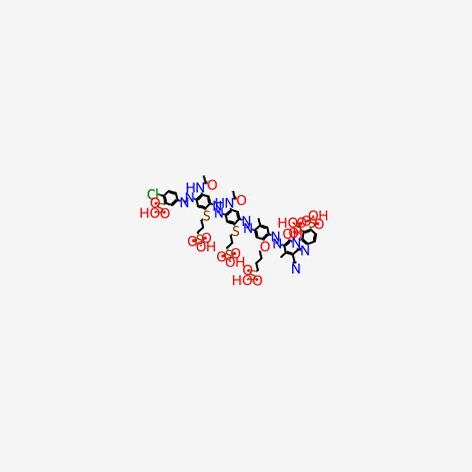 CC(=O)Nc1cc(N=Nc2cc(SCCCS(=O)(=O)O)c(N=Nc3cc(OCCCCS(=O)(=O)O)c(N=Nc4c(C)c(C#N)c5nc6ccc(S(=O)(=O)O)c(S(=O)(=O)O)c6n5c4O)cc3C)cc2NC(C)=O)c(SCCCS(=O)(=O)O)cc1N=Nc1ccc(Cl)c(S(=O)(=O)O)c1